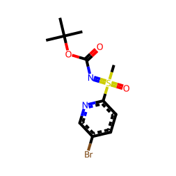 CC(C)(C)OC(=O)N=S(C)(=O)c1ccc(Br)cn1